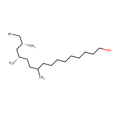 CC(C)C[C@H](C)C[C@@H](C)CCC(C)CCCCCCCCCO